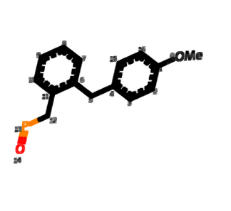 COc1ccc(Cc2ccccc2CP=O)cc1